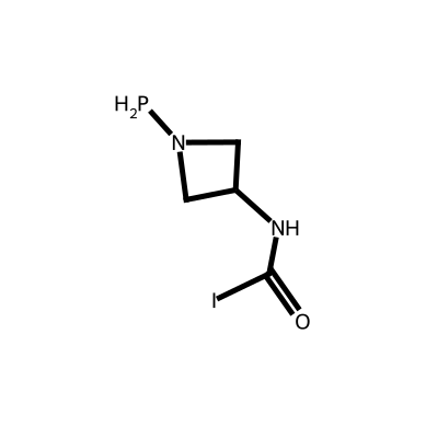 O=C(I)NC1CN(P)C1